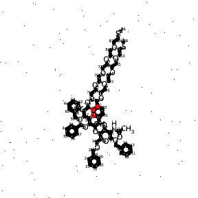 CC(=O)NC1C(OCc2ccccc2)OC(COCc2ccccc2)C(OC(O)C(OCc2ccccc2)C(OOCCOCCOCCOCCOCCSI)C(OCc2ccccc2)C(C)COOCCOCCOCCOCCOCCSI)C1OCc1ccccc1